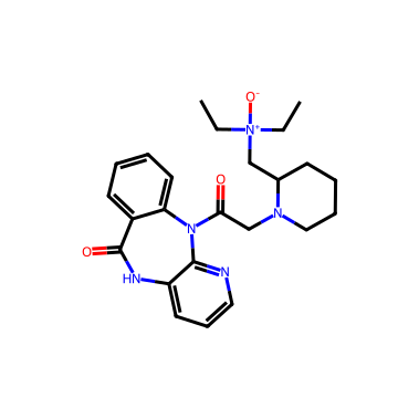 CC[N+]([O-])(CC)CC1CCCCN1CC(=O)N1c2ccccc2C(=O)Nc2cccnc21